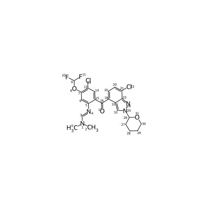 CN(C)/C=N/c1cc(OC(F)F)c(Cl)cc1C(=O)c1ccc(Cl)c2nn(C3CCCCO3)cc12